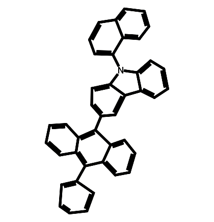 c1ccc(-c2c3ccccc3c(-c3ccc4c(c3)c3ccccc3n4-c3cccc4ccccc34)c3ccccc23)cc1